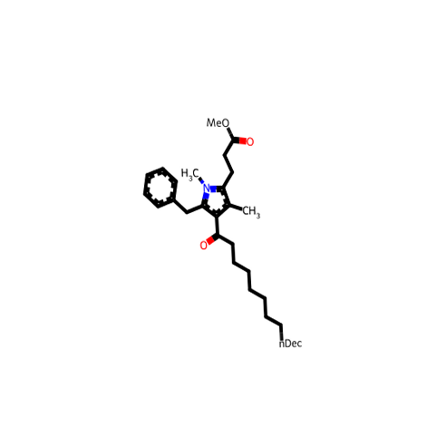 CCCCCCCCCCCCCCCCCC(=O)c1c(C)c(CCC(=O)OC)n(C)c1Cc1ccccc1